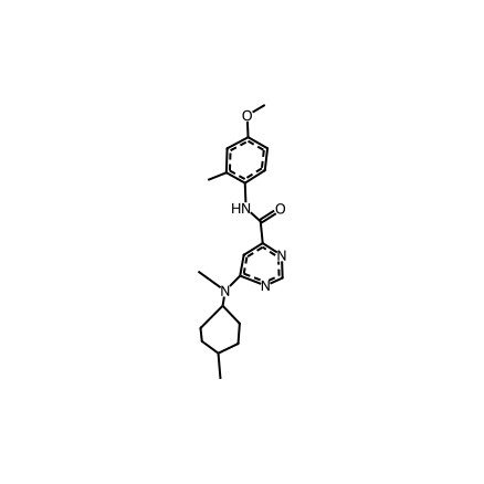 COc1ccc(NC(=O)c2cc(N(C)C3CCC(C)CC3)ncn2)c(C)c1